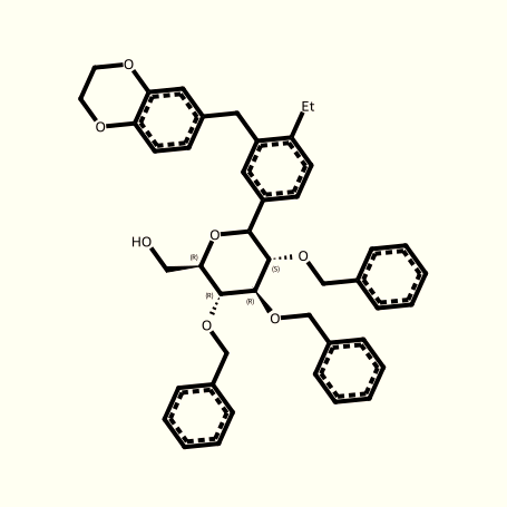 CCc1ccc(C2O[C@H](CO)[C@@H](OCc3ccccc3)[C@H](OCc3ccccc3)[C@H]2OCc2ccccc2)cc1Cc1ccc2c(c1)OCCO2